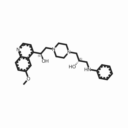 COc1ccc2nccc([C@H](O)CN3CCN(C[C@@H](O)CNc4ccccc4)CC3)c2c1